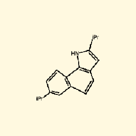 CC(C)c1ccc2c(ccc3cc(C(C)C)[nH]c32)c1